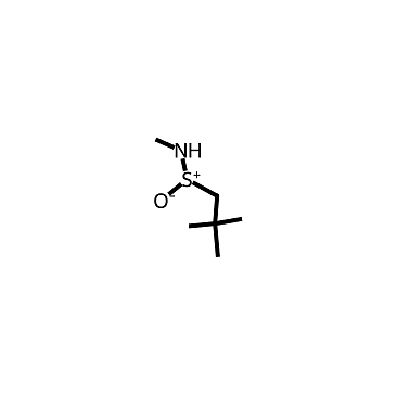 CN[S+]([O-])CC(C)(C)C